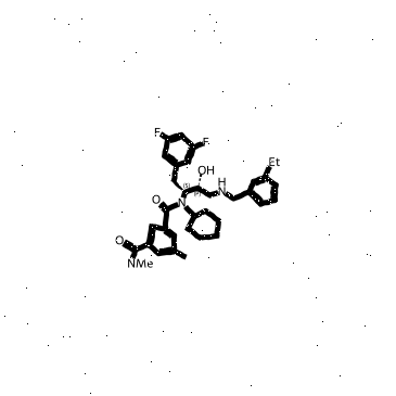 CCc1cccc(CNC[C@@H](O)[C@H](Cc2cc(F)cc(F)c2)N(C(=O)c2cc(C)cc(C(=O)NC)c2)C2CCCCC2)c1